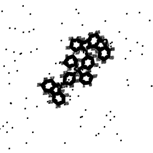 c1ccc([Si](c2ccccc2)(c2ccc(-n3c4ccccc4c4ccccc43)cc2)c2cccc(-n3c4ccccc4c4ccc5oc6ccccc6c5c43)c2)cc1